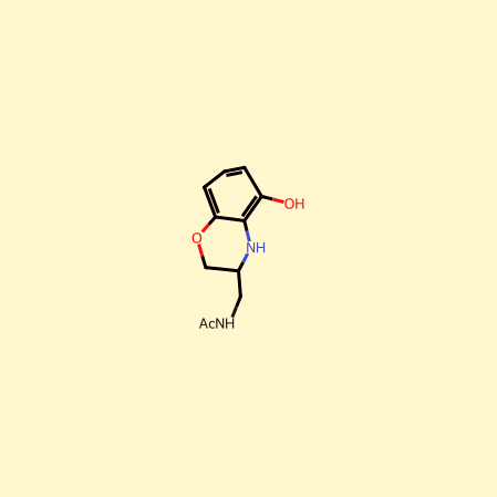 CC(=O)NCC1COc2cccc(O)c2N1